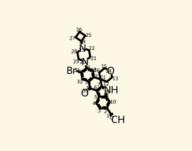 C#Cc1ccc2c3c([nH]c2c1)C1(CCOCC1)c1cc(N2CCN(C4CCC4)CC2)c(Br)cc1C3=O